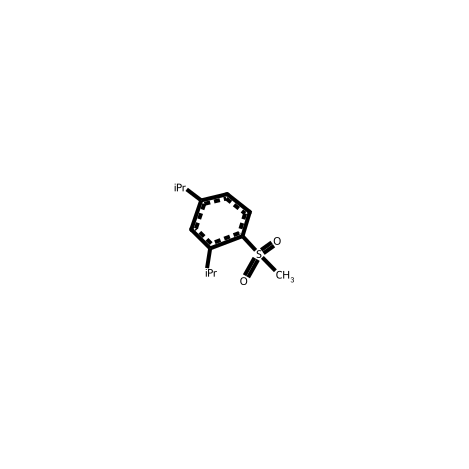 CC(C)c1ccc(S(C)(=O)=O)c(C(C)C)c1